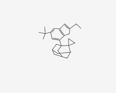 CCC1=Cc2cc(C(C)(C)C)cc(C34CC5C[C](CC(C5)C3)C43CC3)c2C1